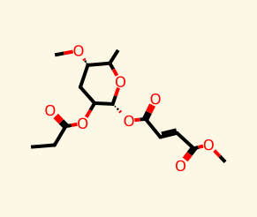 CCC(=O)OC1C[C@H](OC)C(C)O[C@@H]1OC(=O)/C=C/C(=O)OC